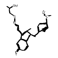 CC1=C(CC=NOCC(C)O)c2cc(F)ccc2C1Cc1ccc([S+](C)[O-])cc1